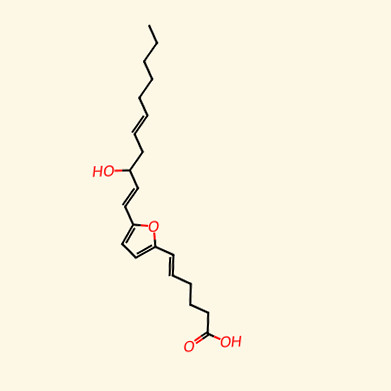 CCCCCC=CCC(O)C=Cc1ccc(C=CCCCC(=O)O)o1